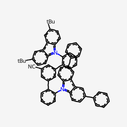 CC(C)(C)c1ccc2c(c1)c1cc(C(C)(C)C)ccc1n2-c1ccccc1-c1cc(C#N)cc(-c2ccccc2-n2c3ccc(-c4ccccc4)cc3c3cc(-c4ccccc4)ccc32)c1